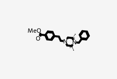 COC(=O)c1ccc(CCN2C[C@@H](C)N(Cc3ccccc3)[C@@H](C)C2)cc1